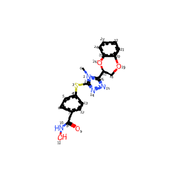 Cn1c(Sc2ccc(C(=O)NO)cc2)nnc1C1COc2ccccc2O1